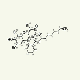 O=C(OCCCCCCCC(F)(F)F)c1ccccc1-c1c2cc(Br)c(=O)c(Br)c-2oc2c(Br)c(O)c(Br)cc12